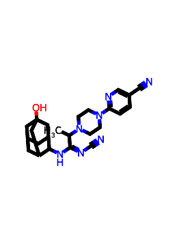 CC(/C(=N\C#N)NC1C2CC3CC1CC(O)(C3)C2)N1CCN(c2ccc(C#N)cn2)CC1